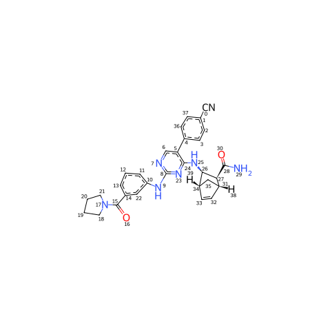 N#Cc1ccc(-c2cnc(Nc3cccc(C(=O)N4CCCC4)c3)nc2N[C@H]2[C@@H](C(N)=O)[C@@H]3C=C[C@H]2C3)cc1